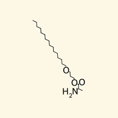 CCCCCCCCCCCCCCCCOCCCOC(=O)C(C)N